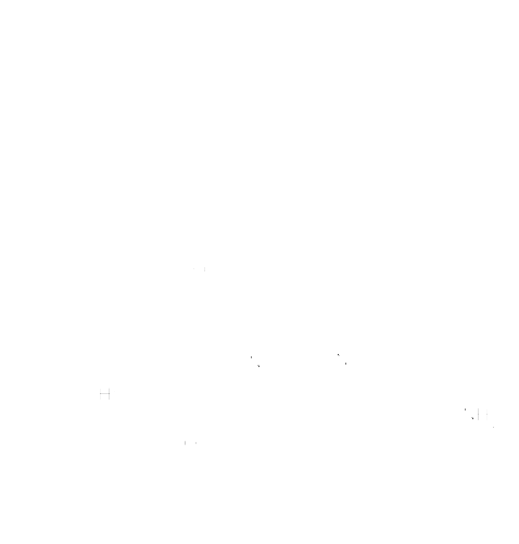 NCCN1CCN(CC(=O)O)C(C(=O)OCC2c3ccccc3-c3ccccc32)C1